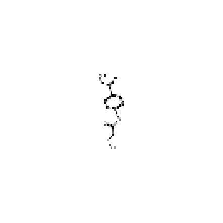 CCCOC(=O)c1ccc(OC(=O)CCO)cc1